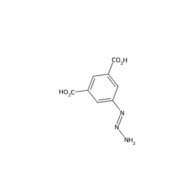 NN=Nc1cc(C(=O)O)cc(C(=O)O)c1